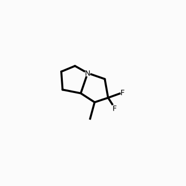 CC1C2CCCN2CC1(F)F